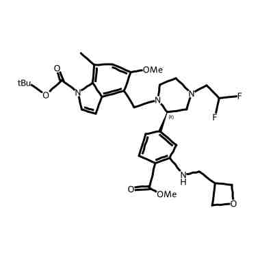 COC(=O)c1ccc([C@@H]2CN(CC(F)F)CCN2Cc2c(OC)cc(C)c3c2ccn3C(=O)OC(C)(C)C)cc1NCC1COC1